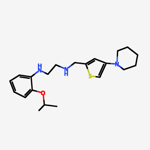 CC(C)Oc1ccccc1NCCNCc1cc(N2CCCCC2)cs1